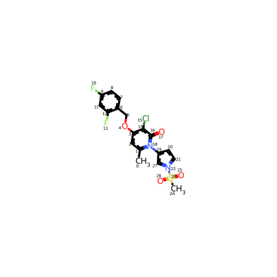 Cc1cc(OCc2ccc(F)cc2F)c(Cl)c(=O)n1-c1ccn(S(C)(=O)=O)c1